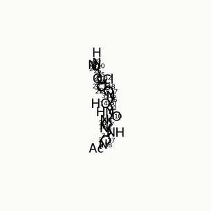 CC(=O)N1CCC(Nc2cc(C(=O)NC[C@H](O)CN3CCc4c(ccc(OCc5cn[nH]c5)c4Cl)C3)ncn2)CC1